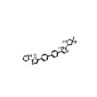 FC1(F)CN[C@H](c2ncc(-c3ccc(-c4ccc(-c5cnc([C@@H]6CCCN6)[nH]5)cc4)cc3)[nH]2)C1